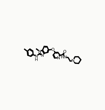 Cc1ccc(Nc2nc3cc(Oc4ccnc(C(=O)NCCN5CCCCC5)c4)ccc3n2C)cc1